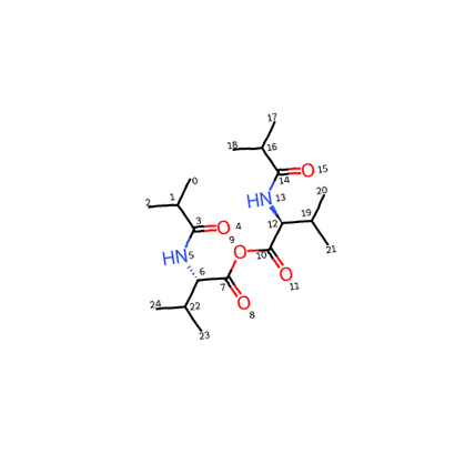 CC(C)C(=O)N[C@H](C(=O)OC(=O)[C@@H](NC(=O)C(C)C)C(C)C)C(C)C